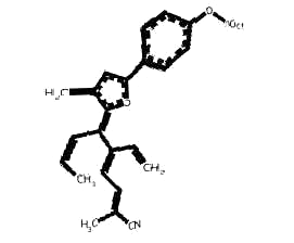 C=CC(=C\C=C(/C)C#N)/C(/C=C\C)=c1\oc(-c2ccc(OCCCCCCCC)cc2)cc1=C